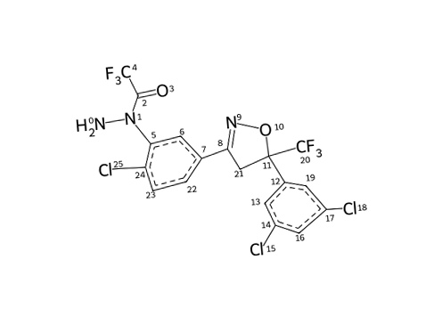 NN(C(=O)C(F)(F)F)c1cc(C2=NOC(c3cc(Cl)cc(Cl)c3)(C(F)(F)F)C2)ccc1Cl